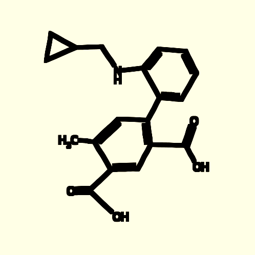 Cc1cc(-c2ccccc2NCC2CC2)c(C(=O)O)cc1C(=O)O